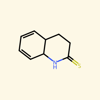 S=C1CCC2C=CC=CC2N1